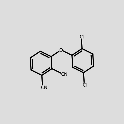 N#Cc1cccc(Oc2cc(Cl)ccc2Cl)c1C#N